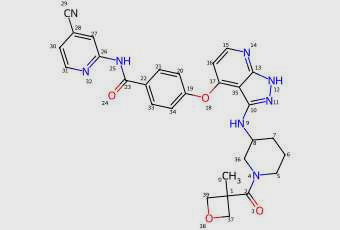 CC1(C(=O)N2CCCC(Nc3n[nH]c4nccc(Oc5ccc(C(=O)Nc6cc(C#N)ccn6)cc5)c34)C2)COC1